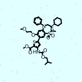 COCCOc1cc2c(cc1-c1cc(NC(=O)OCC(C)C)c(C(=O)OC)s1)S(=O)(=O)N(C)[C@H](C1CCCCC1)CN2c1ccccc1